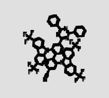 N#Cc1ccc(-c2ccc(-c3nc(-c4ccccc4)nc(-c4ccccc4)n3)cc2-n2c3ccc(C(F)(F)F)cc3c3cc(C(F)(F)F)ccc32)c(-n2c3ccc(C(F)(F)F)cc3c3cc(C(F)(F)F)ccc32)c1